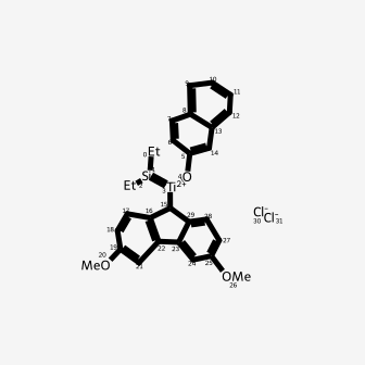 CC[Si](CC)=[Ti+2]([O]c1ccc2ccccc2c1)[CH]1c2ccc(OC)cc2-c2cc(OC)ccc21.[Cl-].[Cl-]